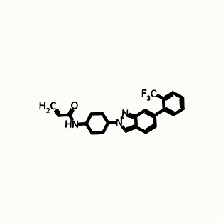 C=CC(=O)NC1CCC(n2cc3ccc(-c4ccccc4C(F)(F)F)cc3n2)CC1